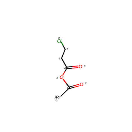 CC(C)C(=O)OC(=O)CCCl